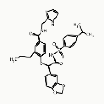 CCCc1cc(C(=O)NCc2ncc[nH]2)ccc1OC(C(=O)NS(=O)(=O)c1ccc(C(C)C)cc1)c1ccc2c(c1)OCO2